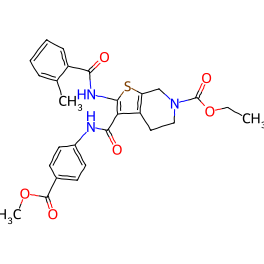 CCOC(=O)N1CCc2c(sc(NC(=O)c3ccccc3C)c2C(=O)Nc2ccc(C(=O)OC)cc2)C1